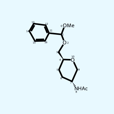 COC(OC[C@@H]1CC[C@@H](NC(C)=O)CO1)c1ccccc1